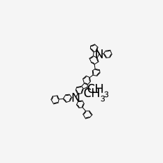 CC1(C)c2cc(-c3cccc(-c4ccc5c6ccccc6n(-c6ccccc6)c5c4)c3)ccc2-c2ccc(N(c3ccc(-c4ccccc4)cc3)c3ccc(-c4ccccc4)cc3)cc21